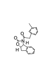 Cc1cccc(CC(=O)N2C(=O)O[C@@H]3Cc4ccccc4[C@@H]32)c1